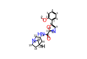 COc1ccccc1-c1cnc(C(=O)N[C@@H]2C[C@@H]3CCN(C3)C2)o1